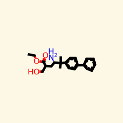 CCOC(=O)C(CO)C[C@H](N)C(C)(C)c1ccc(-c2ccccc2)cc1